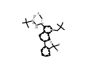 CC(C)(C)Cn1cc([C@@H](CF)N[S@@+]([O-])C(C)(C)C)c2ccc(-c3ccccc3C(F)(F)F)cc21